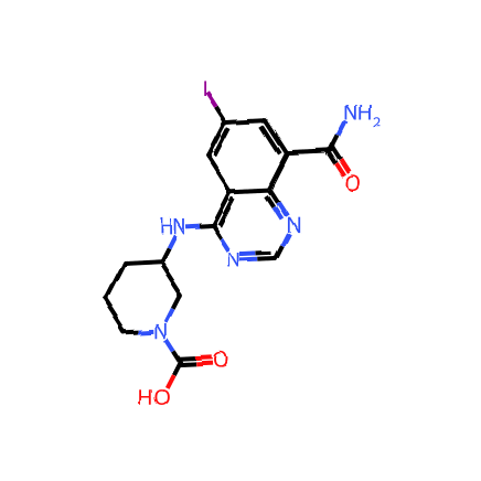 NC(=O)c1cc(I)cc2c(NC3CCCN(C(=O)O)C3)ncnc12